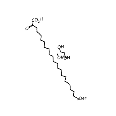 CCCCCCCCCCCCCCCCCCCCCCCCCCCCCCC(=O)C(=O)O.COC.OCCO